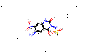 CS(=O)(=O)Nn1c(=O)[nH]c2cc([N+](=O)[O-])c(N)cc2c1=O